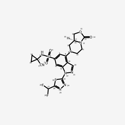 N#CC1(NS(=O)(=O)c2cc(N3CCN4C(=O)OC[C@@H]4C3)c3cnn(-c4nnc(C(F)F)s4)c3c2)CC1